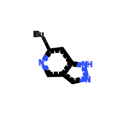 CCC(C)c1cc2[nH]ncc2cn1